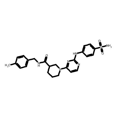 Cc1ccc(CNC(=O)C2CCCN(c3ccnc(Nc4ccc(S(N)(=O)=O)cc4)n3)C2)cc1